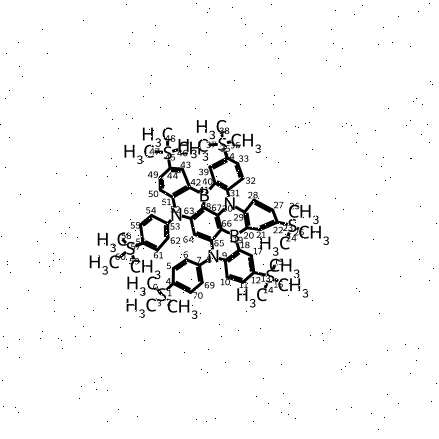 CS(C)(C)c1ccc(N2c3ccc(S(C)(C)C)cc3B3c4cc(S(C)(C)C)ccc4N4c5ccc(S(C)(C)C)cc5B5c6cc(S(C)(C)C)ccc6N(c6ccc(S(C)(C)C)cc6)c6cc2c3c4c65)cc1